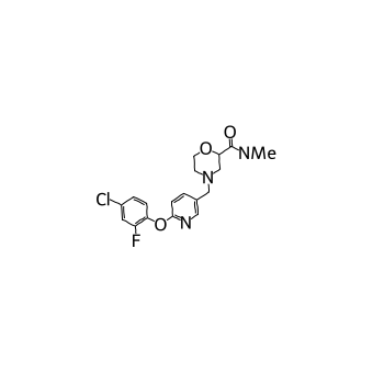 CNC(=O)C1CN(Cc2ccc(Oc3ccc(Cl)cc3F)nc2)CCO1